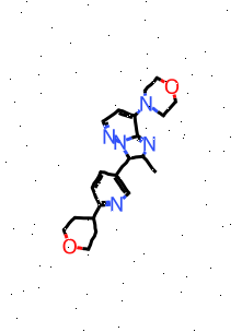 CC1N=C2C(N3CCOCC3)=CC=NN2C1c1ccc(C2CCOCC2)nc1